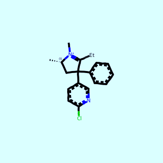 CCC1=[N+](C)[C@@H](C)CC1(c1ccccc1)c1ccc(Cl)nc1